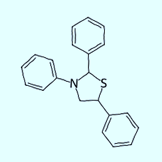 c1ccc(C2CN(c3ccccc3)C(c3ccccc3)S2)cc1